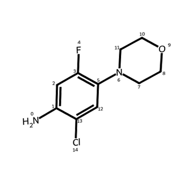 Nc1cc(F)c(N2CCOCC2)cc1Cl